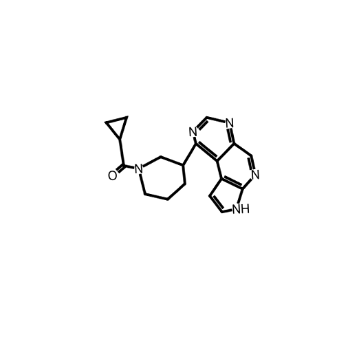 O=C(C1CC1)N1CCCC(c2ncnc3cnc4[nH]ccc4c23)C1